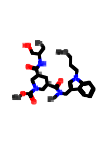 COCCCn1cc(CN(C(=O)[C@@H]2C[C@H](C(=O)NC(CO)CC(C)C)CN(C(=O)OC(C)(C)C)C2)C(C)C)c2ccccc21